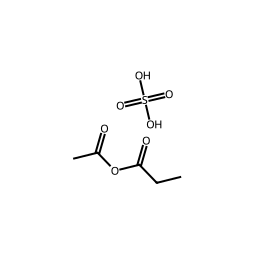 CCC(=O)OC(C)=O.O=S(=O)(O)O